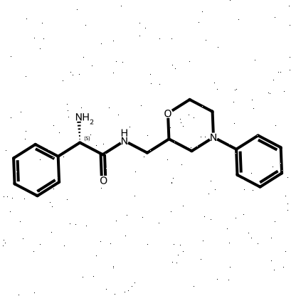 N[C@H](C(=O)NCC1CN(c2ccccc2)CCO1)c1ccccc1